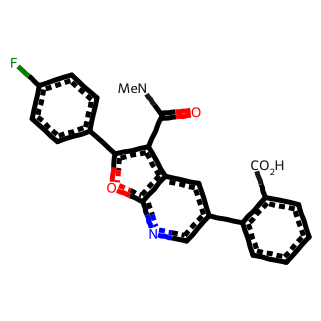 CNC(=O)c1c(-c2ccc(F)cc2)oc2ncc(-c3ccccc3C(=O)O)cc12